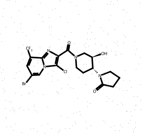 O=C(c1nc2c(C(F)(F)F)cc(Br)cn2c1Cl)N1CC[C@@H](N2CCCC2=O)[C@H](O)C1